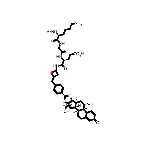 CC(=O)N[C@@H](CCCCN)C(=O)NCC(=O)N[C@@H](CCC(=O)O)C(=O)NC12CC(Cc3ccc([C@H]4O[C@@H]5C[C@H]6[C@@H]7CCC8=CC(=O)C=C[C@]8(C)[C@H]7[C@@H](O)C[C@]6(C)[C@]5(C(=O)CO)O4)cc3)(C1)C2